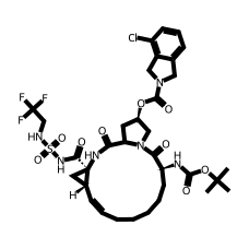 CC(C)(C)OC(=O)N[C@H]1CCCCC/C=C\[C@@H]2C[C@@]2(C(=O)NS(=O)(=O)NCC(F)(F)F)NC(=O)C2C[C@@H](OC(=O)N3Cc4cccc(Cl)c4C3)CN2C1=O